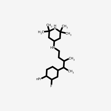 CCCC1CCC(C(C)C(C)CCNC2CC(C)(C)NC(C)(C)C2)CC1F